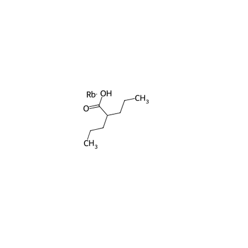 CCCC(CCC)C(=O)O.[Rb]